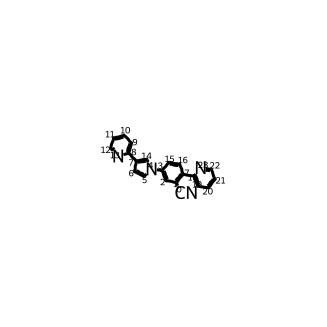 N#Cc1cc(-n2ccc(-c3ccccn3)c2)ccc1-c1ccccn1